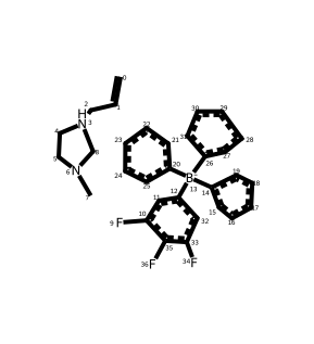 C=CC[NH+]1CCN(C)C1.Fc1cc([B-](c2ccccc2)(c2ccccc2)c2ccccc2)cc(F)c1F